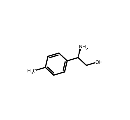 Cc1ccc([C@@H](N)CO)cc1